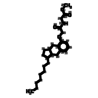 CCCCCCCCC1CCC2Cc3c(cccc3OCC(=O)NCC(=O)OC)CC12